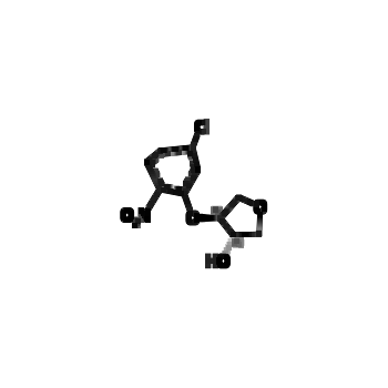 O=[N+]([O-])c1ccc(Cl)cc1O[C@H]1COC[C@@H]1O